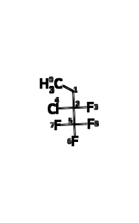 CCC(F)(Cl)C(F)(F)F